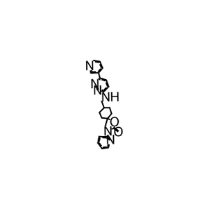 O=C1OC2(CCC(CNc3ccc(-c4cccnc4)nn3)CC2)CN1c1ccccn1